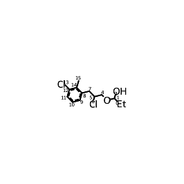 CCC(O)OCC(Cl)Cc1cccc(Cl)c1C